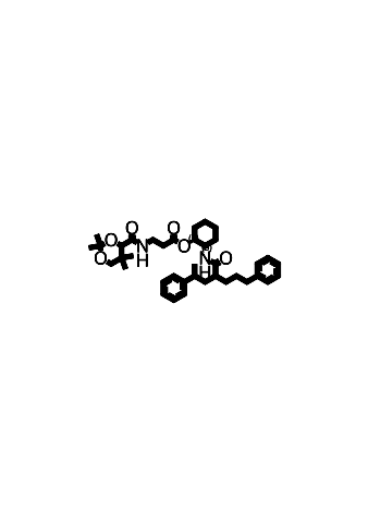 CC(CC(CCCc1ccccc1)C(=O)N[C@H]1CCCC[C@@H]1OC(=O)CCNC(=O)C1OC(C)(C)OCC1(C)C)c1ccccc1